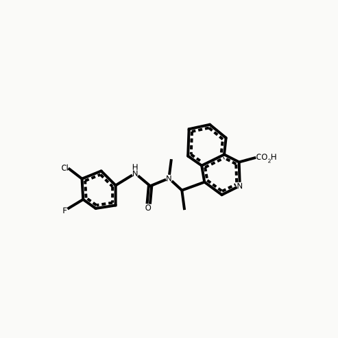 CC(c1cnc(C(=O)O)c2ccccc12)N(C)C(=O)Nc1ccc(F)c(Cl)c1